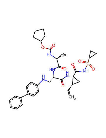 C=C[C@@H]1C[C@]1(NC(=O)[C@H](CNc1ccc(-c2ccccc2)cc1)NC(=O)[C@@H](NC(=O)OC1CCCC1)C(C)(C)C)C(=O)NS(=O)(=O)C1CC1